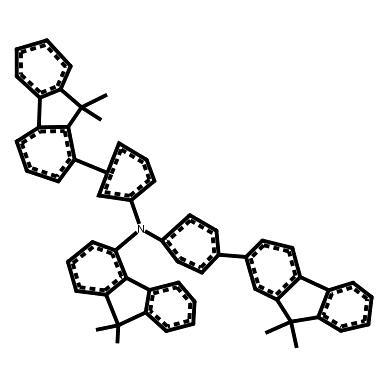 CC1(C)c2ccccc2-c2ccc(-c3ccc(N(c4cccc(-c5cccc6c5C(C)(C)c5ccccc5-6)c4)c4cccc5c4-c4ccccc4C5(C)C)cc3)cc21